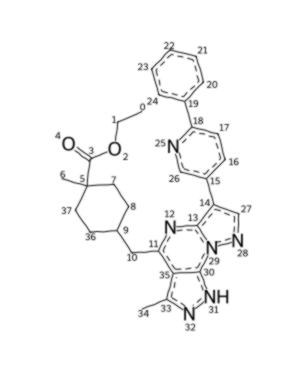 CCOC(=O)C1(C)CCC(Cc2nc3c(-c4ccc(-c5ccccc5)nc4)cnn3c3[nH]nc(C)c23)CC1